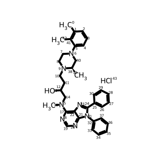 Cc1cccc(N2CCN(CCC(O)CN(C)c3ncnc4c3nc(-c3ccccc3)n4-c3ccccc3)[C@H](C)C2)c1C.Cl